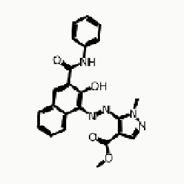 COC(=O)c1cnn(C)c1/N=N/c1c(O)c(C(=O)Nc2ccccc2)cc2ccccc12